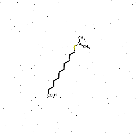 C[As](C)SCCCCCCCCCCC(=O)O